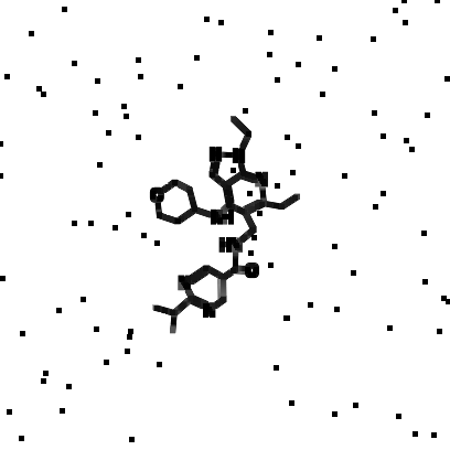 CCc1nc2c(cnn2CC)c(NC2CCOCC2)c1CNC(=O)c1cnc(C(C)C)nc1